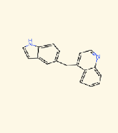 c1ccc2c(Cc3ccc4[nH]ccc4c3)ccnc2c1